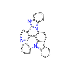 c1ccc(-n2c3ccccc3c3ccc4c(c5cnccc5c5nc6ccccc6n45)c32)cc1